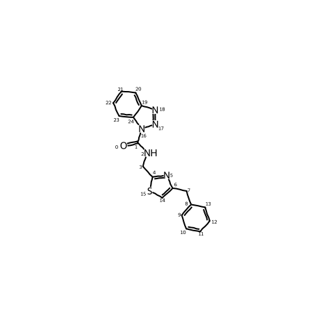 O=C(NCc1nc(Cc2ccccc2)cs1)n1nnc2ccccc21